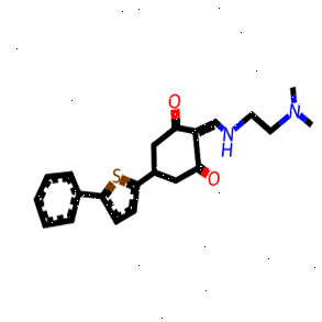 CN(C)CCNC=C1C(=O)CC(c2ccc(-c3ccccc3)s2)CC1=O